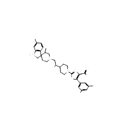 Cc1ccc2c(c1)NCC21CCN(CC(O)C2CCN(c3nc(C(=O)O)c(-c4cc(F)cc(F)c4)o3)CC2)CC1C